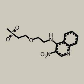 CS(=O)(=O)CCOCCNc1c([N+](=O)[O-])cnc2ccccc12